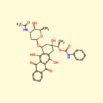 C[C@H]1O[C@@H](O[C@H]2CC(O)([C@@H](C)OC(=O)Nc3ccccc3)Cc3c(O)c4c(c(O)c32)C(=O)c2ccccc2C4=O)C[C@H](NC(=O)C(F)(F)F)[C@H]1O